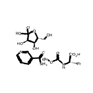 CC(C)[C@H](NC(=O)OC(C)(C)C)C(=O)O.NC(=O)c1cccnc1.OC[C@H]1OC(O)(Cl)[C@H](O)[C@@H]1O